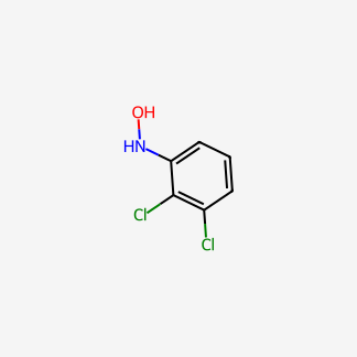 ONc1cccc(Cl)c1Cl